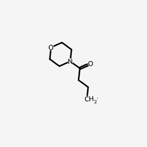 [CH2]CCC(=O)N1CCOCC1